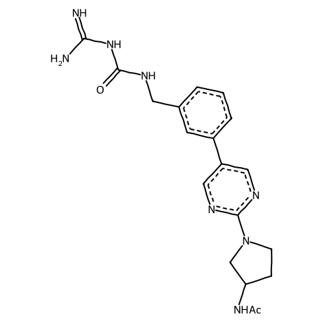 CC(=O)NC1CCN(c2ncc(-c3cccc(CNC(=O)NC(=N)N)c3)cn2)C1